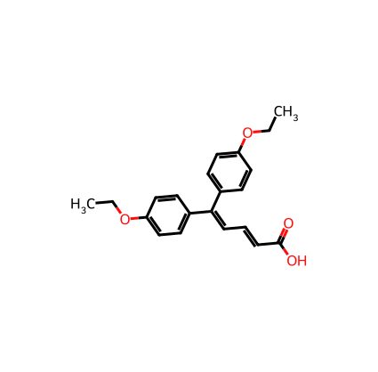 CCOc1ccc(C(=CC=CC(=O)O)c2ccc(OCC)cc2)cc1